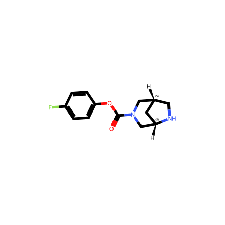 O=C(Oc1ccc(F)cc1)N1C[C@@H]2CN[C@@H](C2)C1